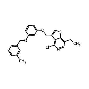 CCc1cnc(Cl)c2c(COc3cccc(OCc4cccc(C)c4)c3)csc12